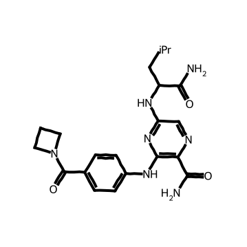 CC(C)CC(Nc1cnc(C(N)=O)c(Nc2ccc(C(=O)N3CCC3)cc2)n1)C(N)=O